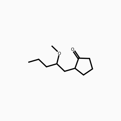 CCCC(CC1CCCC1=O)OC